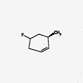 C[C@H]1C=CCC(F)C1